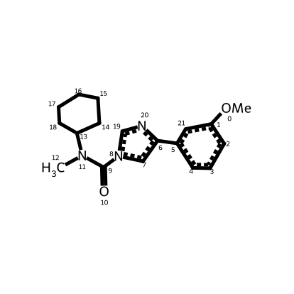 COc1cccc(-c2cn(C(=O)N(C)C3CCCCC3)cn2)c1